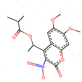 COc1cc2oc(=O)c([N+](=O)[O-])c(C(C)OC(=O)C(C)C)c2cc1OC